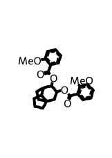 COc1ccccc1C(=O)OC1CC23CCCC2C(CC3)C1OC(=O)c1ccccc1OC